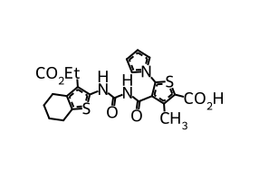 CCOC(=O)c1c(NC(=O)NC(=O)c2c(-n3cccc3)sc(C(=O)O)c2C)sc2c1CCCC2